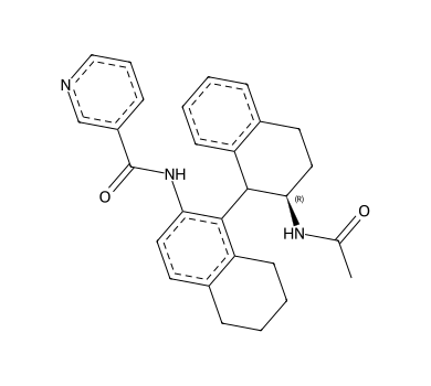 CC(=O)N[C@@H]1CCc2ccccc2C1c1c(NC(=O)c2cccnc2)ccc2c1CCCC2